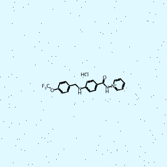 Cl.O=C(N[n+]1ccccc1)c1ccc(NCc2ccc(OC(F)(F)F)cc2)cc1